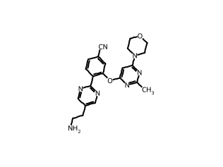 Cc1nc(Oc2cc(C#N)ccc2-c2ncc(CCN)cn2)cc(N2CCOCC2)n1